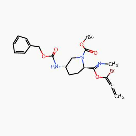 C=C=C(Br)O/C(=N\C)[C@H]1CC[C@H](NC(=O)OCc2ccccc2)CN1C(=O)OC(C)(C)C